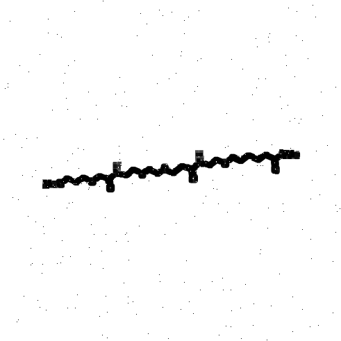 CNC(=O)CCCCCOCCNC(=O)CCOCCOCCNC(=O)COCCCOC